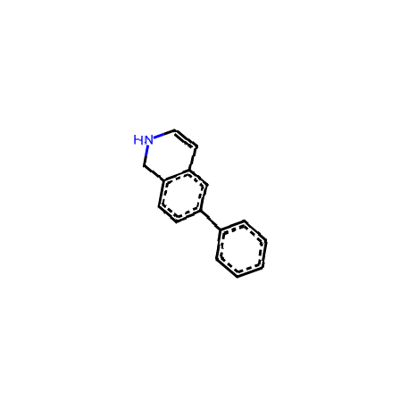 C1=Cc2cc(-c3ccccc3)ccc2CN1